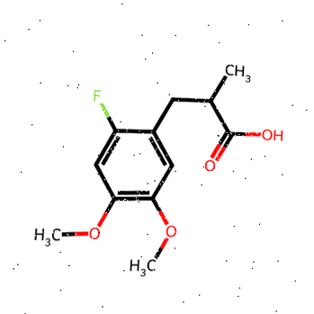 COc1cc(F)c(CC(C)C(=O)O)cc1OC